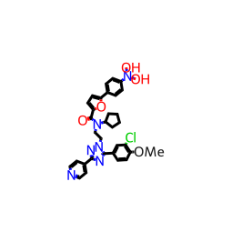 COc1ccc(-c2nc(-c3ccncc3)nn2CCN(C(=O)c2ccc(-c3ccc(N(O)O)cc3)o2)C2CCCC2)cc1Cl